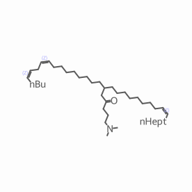 CCCC/C=C\C/C=C\CCCCCCCCC(CCCCCCCC/C=C\CCCCCCC)CC(=O)CCCN(C)C